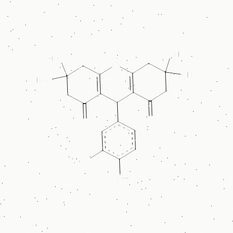 COc1cc(C2C3=C(CC(C)(C)CC3=O)OC3=C2C(=O)CC(C)(C)C3)ccc1O